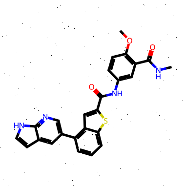 CNC(=O)c1cc(NC(=O)c2cc3c(-c4cnc5[nH]ccc5c4)cccc3s2)ccc1OC